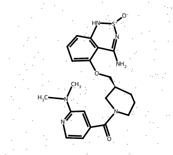 CN(C)c1cc(C(=O)N2CCC[C@H](COc3cccc4c3C(N)=N[S+]([O-])N4)C2)ccn1